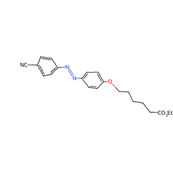 CCOC(=O)CCCCCOc1ccc(N=Nc2ccc(C#N)cc2)cc1